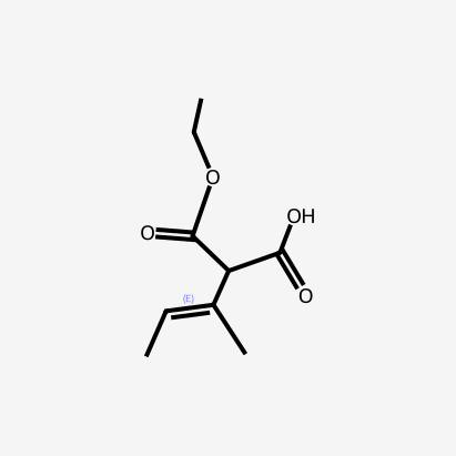 C/C=C(\C)C(C(=O)O)C(=O)OCC